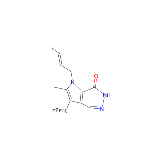 C/C=C/Cn1c(C)c(CCCCC)c2cn[nH]c(=O)c21